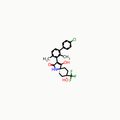 Cc1ccc(-c2ccc(Cl)cc2)c(C)c1C1=C(O)[C@]2(CC[C@](O)(C(F)(F)F)CC2)NC1=O